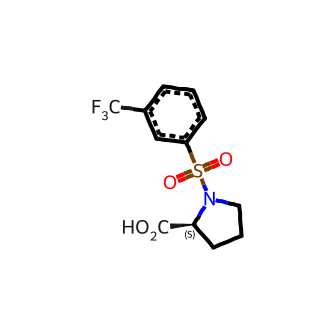 O=C(O)[C@@H]1CCCN1S(=O)(=O)c1cccc(C(F)(F)F)c1